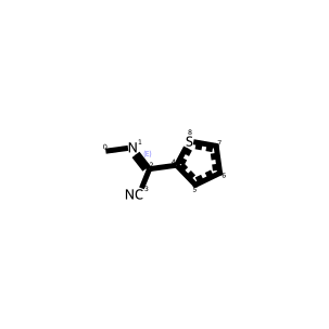 C/N=C(\C#N)c1cccs1